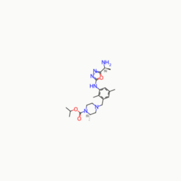 Cc1cc(CN2CCN(C(=O)OC(C)C)[C@@H](C)C2)c(C)c(Nc2nnc([C@H](C)N)o2)c1